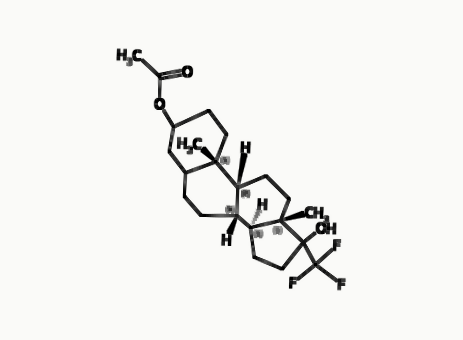 CC(=O)OC1CC[C@@]2(C)C(CC[C@@H]3[C@H]2CC[C@@]2(C)[C@H]3CCC2(O)C(F)(F)F)C1